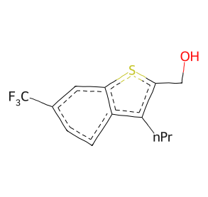 CCCc1c(CO)sc2cc(C(F)(F)F)ccc12